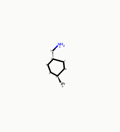 CC(C)[C@H]1CC[C@H](CN)CC1